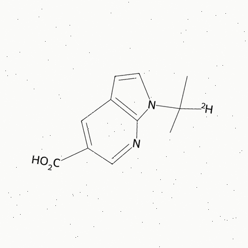 [2H]C(C)(C)n1ccc2cc(C(=O)O)cnc21